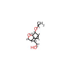 C=COC1C2CC3C(COC31)C2CO